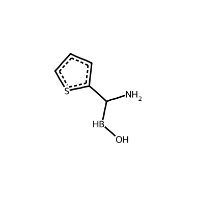 NC(BO)c1cccs1